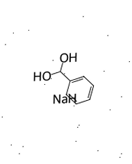 OC(O)c1ccccc1.[NaH]